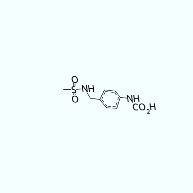 CS(=O)(=O)NCc1ccc(NC(=O)O)cc1